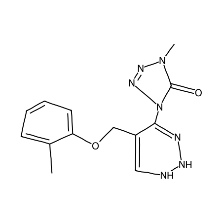 Cc1ccccc1OCC1=CNNN=C1n1nnn(C)c1=O